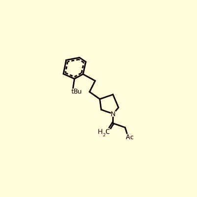 C=C(CC(C)=O)N1CCC(CCc2ccccc2C(C)(C)C)C1